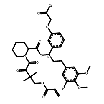 C=CC(=O)OCC(C)(C)C(=O)C(=O)N1CCCCC1C(=O)O[C@H](CCc1cc(F)c(OC)c(OC)c1)c1cccc(OCC(=O)O)c1